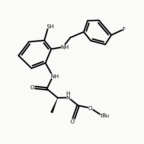 C[C@H](NC(=O)OC(C)(C)C)C(=O)Nc1cccc(S)c1NCc1ccc(F)cc1